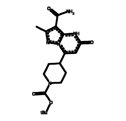 Cc1nn2c(C3CCN(C(=O)OC(C)(C)C)CC3)cc(=O)[nH]c2c1C(N)=O